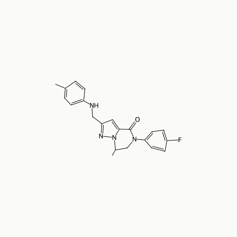 Cc1ccc(NCc2cc3n(n2)C(C)CN(c2ccc(F)cc2)C3=O)cc1